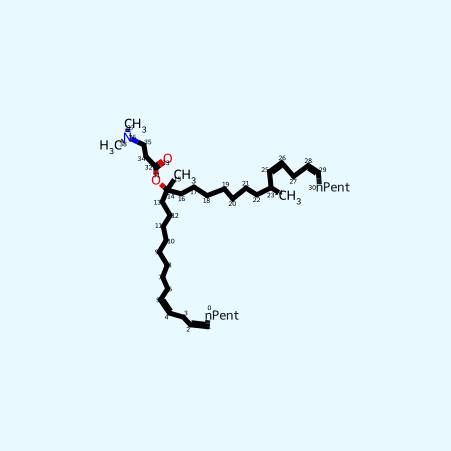 CCCCC/C=C\C/C=C\CCCCCCCCC(C)(CCCCCCCC(C)/C=C\C/C=C\CCCCC)OC(=O)CCN(C)C